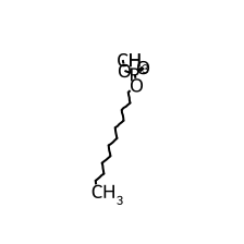 CCCCCCCCCCCCO[PH](=O)OC